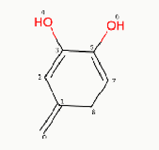 C=C1C=C(O)C(O)=CC1